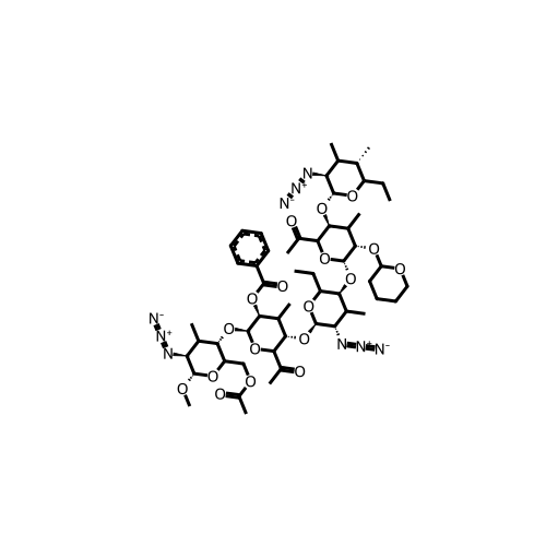 CCC1O[C@H](O[C@@H]2C(C(C)=O)O[C@@H](O[C@@H]3C(CC)O[C@H](O[C@@H]4C(C(C)=O)O[C@@H](O[C@@H]5C(COC(C)=O)O[C@H](OC)[C@@H](N=[N+]=[N-])C5C)[C@@H](OC(=O)c5ccccc5)C4C)[C@@H](N=[N+]=[N-])C3C)[C@@H](OC3CCCCO3)C2C)[C@@H](N=[N+]=[N-])C(C)[C@@H]1C